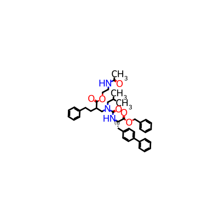 CC(=O)NCCOC(=O)C(CCc1ccccc1)CN(CC(C)C)C(=O)N[C@@H](Cc1ccc(-c2ccccc2)cc1)C(=O)OCc1ccccc1